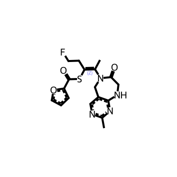 C/C(=C(\CCF)SC(=O)c1ccco1)N1Cc2cnc(C)nc2NCC1=O